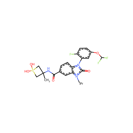 CC(C)n1c(=O)n(-c2cc(OC(F)F)ccc2F)c2ccc(C(=O)NC3(C)CS(O)(O)C3)cc21